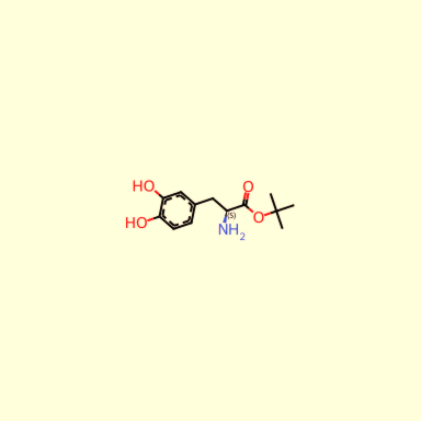 CC(C)(C)OC(=O)[C@@H](N)Cc1ccc(O)c(O)c1